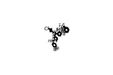 CS(=O)(=O)[C@H]1CC[C@@H](Nc2nccc(-c3sc(C45CC(Cl)(C4)C5)nc3-c3cccc(NS(=O)(=O)c4c(F)cccc4C(F)(F)F)c3F)n2)CC1